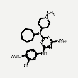 CNc1nc(Nc2ccc(OC)c(Cl)c2)nc(N(C2CCCCCC2)C2CCN(C)CC2)n1